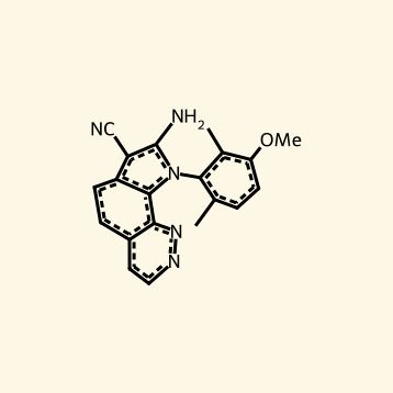 COc1ccc(C)c(-n2c(N)c(C#N)c3ccc4ccnnc4c32)c1C